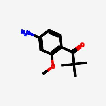 COc1cc(N)ccc1C(=O)C(C)(C)C